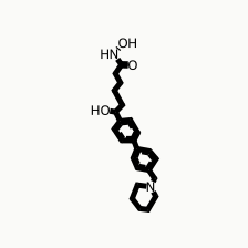 O=C(CCCCC(O)c1ccc(-c2ccc(CN3CCCCC3)cc2)cc1)NO